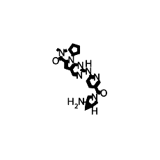 CN(C)C(=O)c1cc2cnc(Nc3ccc(C(=O)N4C[C@H]5C[C@@]5(N)C4)cn3)nc2n1C1CCCC1